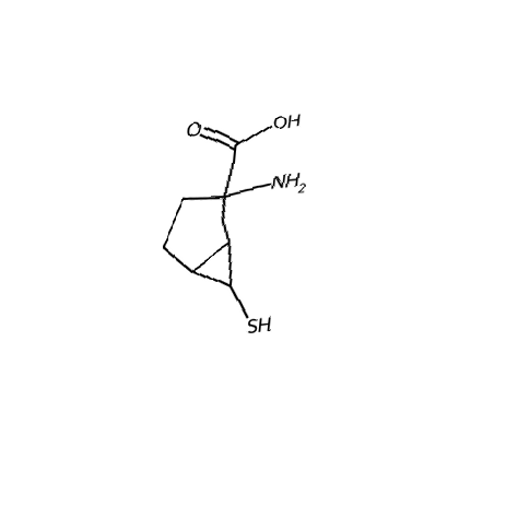 NC1(C(=O)O)CCC2C(S)C21